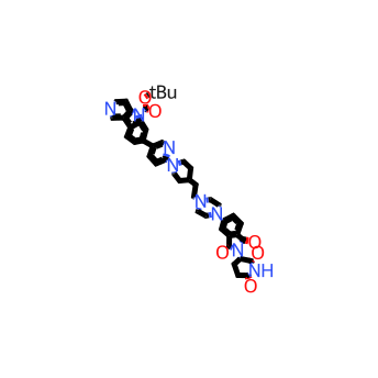 CC(C)(C)OC(=O)n1c2ccncc2c2ccc(-c3ccc(N4CCC(CCN5CCN(c6ccc7c(c6)C(=O)N(C6CCC(=O)NC6=O)C7=O)CC5)CC4)nc3)cc21